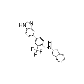 FC(F)(F)c1cc(-c2ccc3[nH]cnc3c2)ccc1CNC1Cc2ccccc2C1